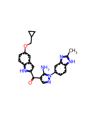 Cc1nc2cc(-n3ncc(C(=O)c4cc5cc(OCC6CC6)ccc5[nH]4)c3N)ccc2[nH]1